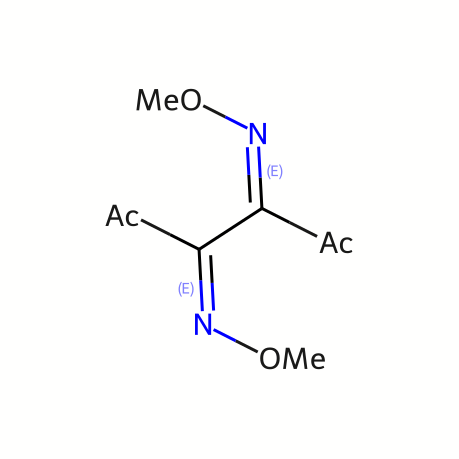 CO/N=C(C(C)=O)\C(=N/OC)C(C)=O